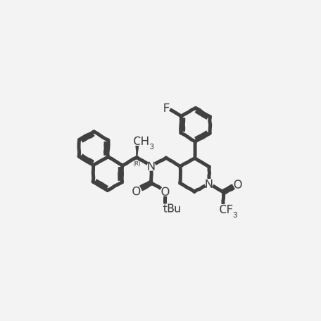 C[C@H](c1cccc2ccccc12)N(CC1CCN(C(=O)C(F)(F)F)CC1c1cccc(F)c1)C(=O)OC(C)(C)C